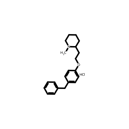 CN1CCCCC1CCOc1ccc(Cc2ccccc2)cc1.Cl